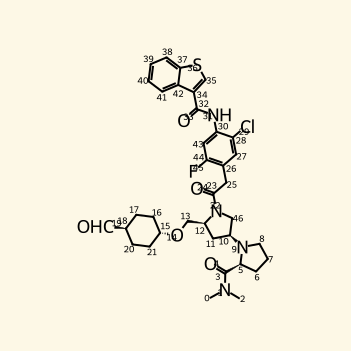 CN(C)C(=O)[C@@H]1CCCN1[C@H]1C[C@@H](CO[C@H]2CC[C@H](C=O)CC2)N(C(=O)Cc2cc(Cl)c(NC(=O)c3csc4ccccc34)cc2F)C1